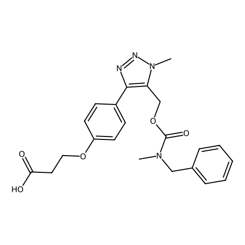 CN(Cc1ccccc1)C(=O)OCc1c(-c2ccc(OCCC(=O)O)cc2)nnn1C